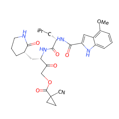 COc1cccc2[nH]c(C(=O)N[C@@H](CC(C)C)C(=O)N[C@@H](C[C@@H]3CCCNC3=O)C(=O)COC(=O)C3(C#N)CC3)cc12